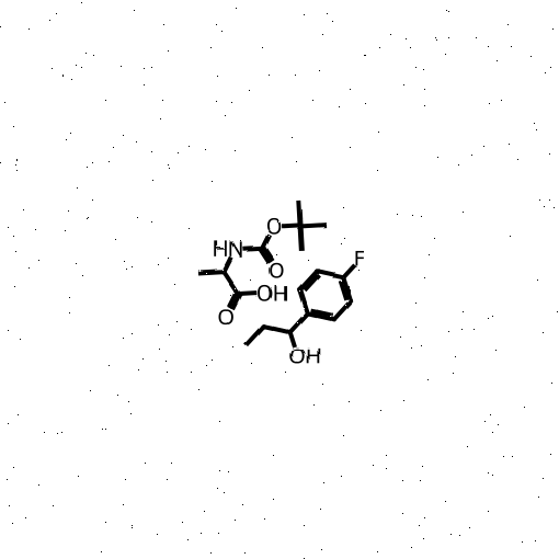 CC(NC(=O)OC(C)(C)C)C(=O)O.CCC(O)c1ccc(F)cc1